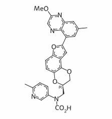 COc1cnc2c(-c3cc4c5c(ccc4o3)O[C@H](CN(C(=O)O)c3ccc(C)nc3)CO5)cc(C)cc2n1